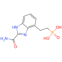 NC(=O)c1nc2c(CCP(=O)(O)O)cccc2[nH]1